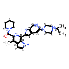 Cc1c(C(=O)N2CCCCC2)nc(-c2cc3cc(N4CCN(C(C)C)CC4)ncc3[nH]2)c2[nH]ccc12